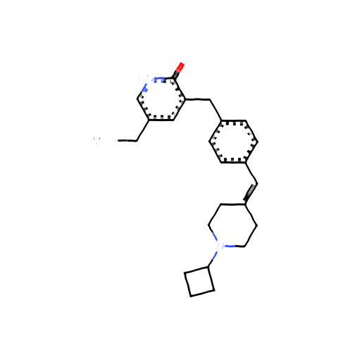 COCc1c[nH]c(=O)c(Cc2ccc(C=C3CCN(C4CCC4)CC3)cc2)c1